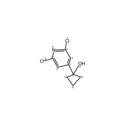 OC1(c2cc(Cl)nc(Cl)c2)CCC1